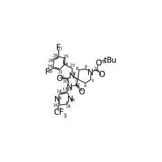 CC(C)(C)OC(=O)N1CCC2(CC1)C(=O)N(c1cnc(C(F)(F)F)cn1)C(=O)N2Cc1cc(F)cc(F)c1